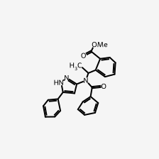 COC(=O)c1ccccc1C(C)N(C(=O)c1ccccc1)c1cc(-c2ccccc2)[nH]n1